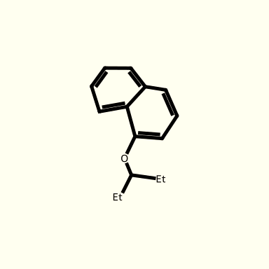 CCC(CC)Oc1cccc2ccccc12